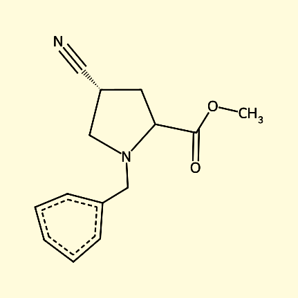 COC(=O)C1C[C@@H](C#N)CN1Cc1ccccc1